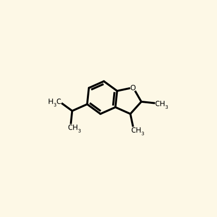 CC(C)c1ccc2c(c1)C(C)C(C)O2